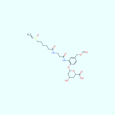 C=C[S+]([O-])CCCCCC(=O)NCCC(=O)Nc1cc(COC=O)ccc1OC1CC(O)CC(C(=O)O)O1